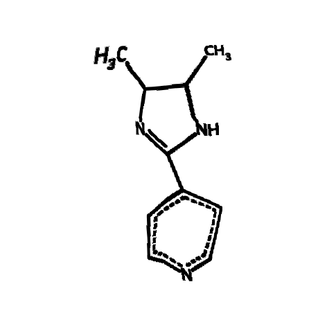 CC1N=C(c2ccncc2)NC1C